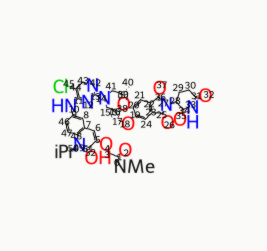 CNC(=O)COC1=Cc2cc(Nc3nc(N4C[C@@H](COc5ccc6c(c5)C(=O)N(C5CCC(=O)NC5=O)C6=O)O[C@@H](C)C4)ncc3Cl)ccc2N(C(C)C)C1O